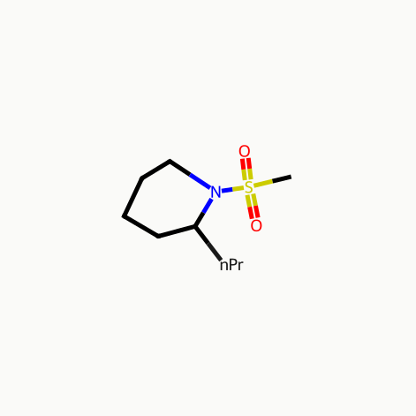 CCCC1CCCCN1S(C)(=O)=O